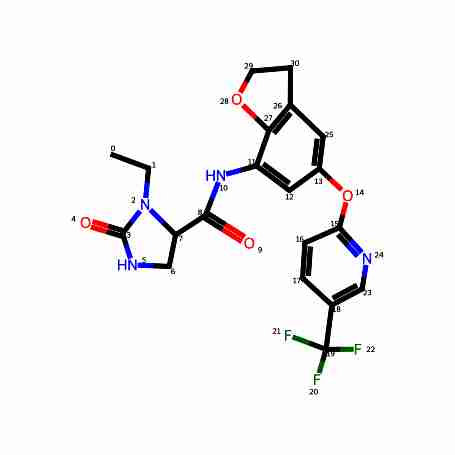 CCN1C(=O)NCC1C(=O)Nc1cc(Oc2ccc(C(F)(F)F)cn2)cc2c1OCC2